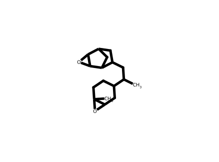 CC(CC1CC2CC1C1OC21)C1CCC2(C)OC2C1